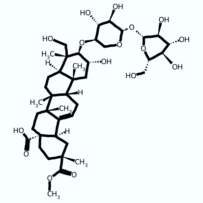 COC(=O)[C@]1(C)CC[C@@]2(C(=O)O)CC[C@@]3(C)C(=CC[C@H]4[C@@]5(C)C[C@@H](O)[C@H](O[C@@H]6CO[C@@H](O[C@H]7O[C@@H](CO)[C@H](O)[C@@H](O)[C@@H]7O)[C@H](O)[C@H]6O)[C@@](C)(CO)[C@@H]5CC[C@]43C)[C@H]2C1